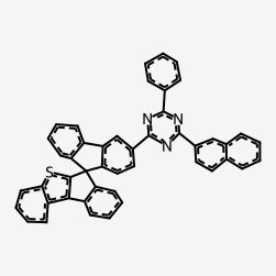 c1ccc(-c2nc(-c3ccc4c(c3)-c3ccccc3C43c4ccccc4-c4c3sc3ccccc43)nc(-c3ccc4ccccc4c3)n2)cc1